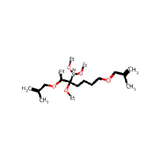 C=C(C)COCCCCC(OCC)(C(CC)OCC(=C)C)[SiH](OCC)OCC